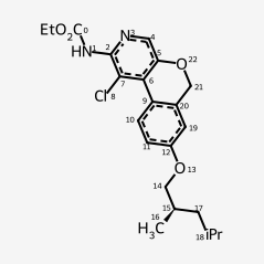 CCOC(=O)Nc1ncc2c(c1Cl)-c1ccc(OC[C@H](C)CC(C)C)cc1CO2